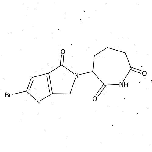 O=C1CCCC(N2Cc3sc(Br)cc3C2=O)C(=O)N1